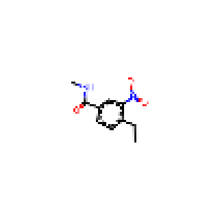 CCc1ccc(C(=O)NC)cc1[N+](=O)[O-]